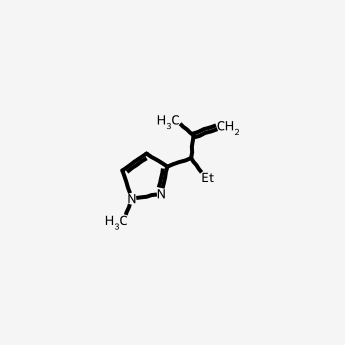 C=C(C)C(CC)c1ccn(C)n1